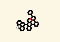 c1ccc(-c2ccc(-c3ccccc3-c3c4ccccc4c(-c4cc5cccc6oc7cccc4c7c56)c4ccccc34)cc2)cc1